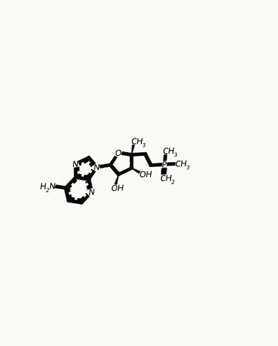 C=P(C)(C)CC[C@@]1(C)OC(n2cnc3c(N)ccnc32)[C@H](O)[C@@H]1O